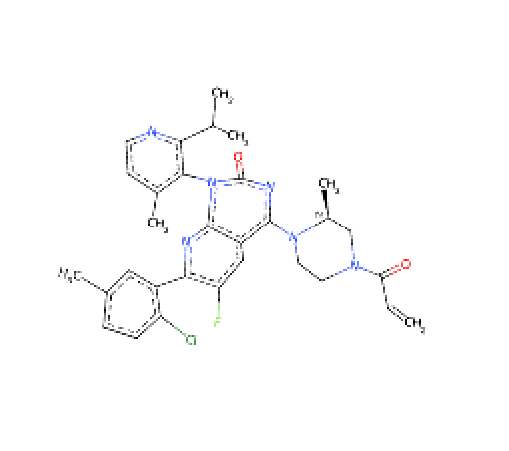 C=CC(=O)N1CCN(c2nc(=O)n(-c3c(C)ccnc3C(C)C)c3nc(-c4cc(C)ccc4Cl)c(F)cc23)[C@@H](C)C1